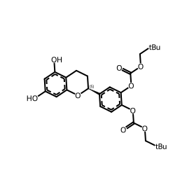 CC(C)(C)COC(=O)Oc1ccc([C@@H]2CCc3c(O)cc(O)cc3O2)cc1OC(=O)OCC(C)(C)C